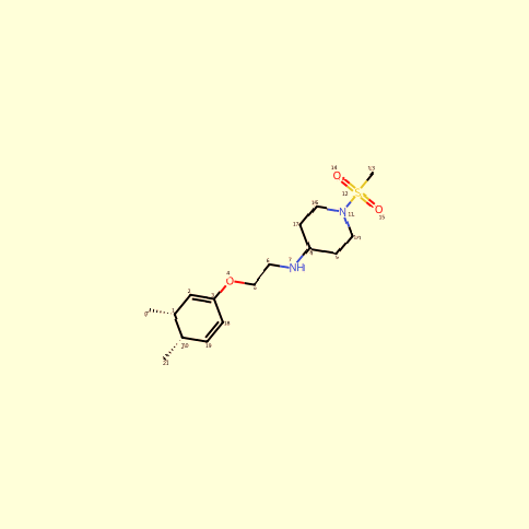 C[C@@H]1C=C(OCCNC2CCN(S(C)(=O)=O)CC2)C=C[C@@H]1C